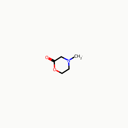 [CH2]N1CCOC(=O)C1